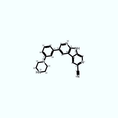 N#Cc1cc2c(cn1)[nH]c1ncc(-c3cccc(N4CCNCC4)c3)cc12